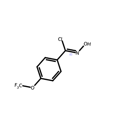 O/N=C(\Cl)c1ccc(OC(F)(F)F)cc1